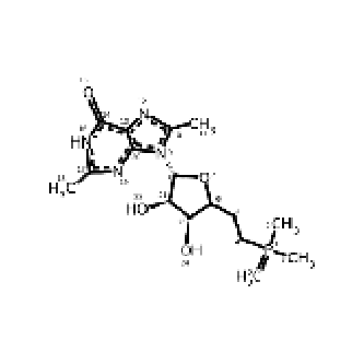 C=P(C)(C)CCC1O[C@@H](n2c(C)nc3c(=O)[nH]c(C)nc32)[C@H](O)[C@@H]1O